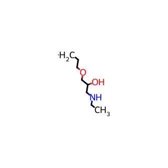 [CH2]CCOCC(O)CNCC